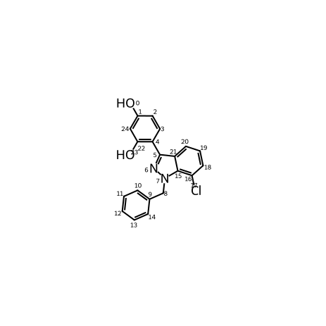 Oc1ccc(-c2nn(Cc3ccccc3)c3c(Cl)cccc23)c(O)c1